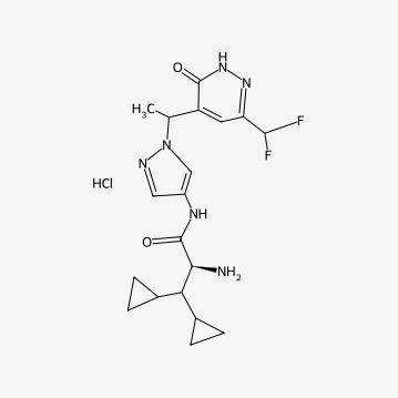 CC(c1cc(C(F)F)n[nH]c1=O)n1cc(NC(=O)[C@@H](N)C(C2CC2)C2CC2)cn1.Cl